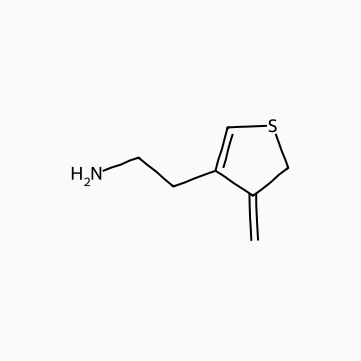 C=C1CSC=C1CCN